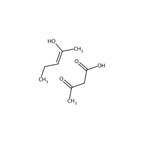 CC(=O)CC(=O)O.CCC=C(C)O